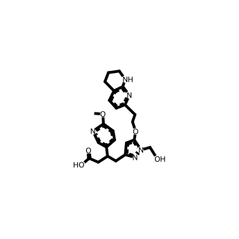 COc1ccc(C(CC(=O)O)Cc2cc(OCCc3ccc4c(n3)NCCC4)n(CO)n2)cn1